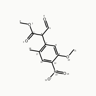 COC(=O)C(C=O)c1cc(OC)c([N+](=O)[O-])cc1C